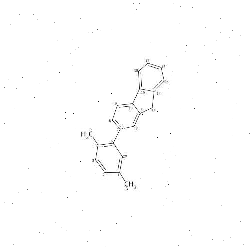 Cc1ccc(C)c(-c2ccc3c(c2)Cc2ccccc2-3)c1